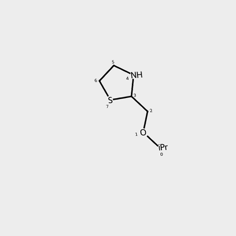 CC(C)OCC1NCCS1